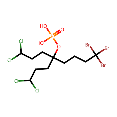 O=P(O)(O)OC(CCCC(Br)(Br)Br)(CCC(Cl)Cl)CCC(Cl)Cl